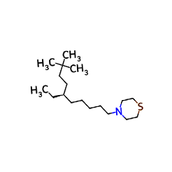 CC[C@H](CCCCCN1CCSCC1)CCC(C)(C)C